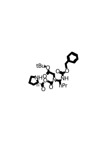 CCCC(NC(=O)OCc1ccccc1)N(CC(=O)OC(C)(C)C)C(=O)OC(=O)[C@@H]1CCCN1